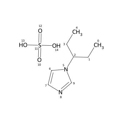 CCC(CC)n1ccnc1.O=S(=O)(O)O